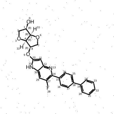 O[C@@H]1CO[C@H]2[C@@H]1OC[C@H]2Oc1cc2nc(-c3ccc(-c4ccccc4)cc3)c(F)cc2[nH]1